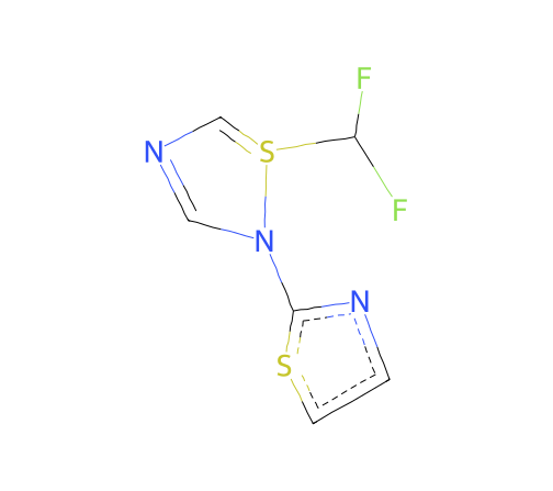 FC(F)S1=CN=CN1c1nccs1